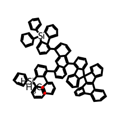 Cc1ccccc1-c1c(-c2cccc3c(-c4cccc5c4-c4ccccc4C54c5ccccc5-c5c4c4ccccc4c4ccccc54)c4cccc(-c5cccc6c5-c5ccccc5[Si]6(c5ccccc5)c5ccccc5)c4cc23)cccc1[SiH](c1ccccc1)c1ccccc1